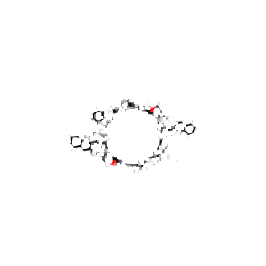 CC(C)[C@H]1C(=O)NC[C@@H](NC(=O)c2nc3ccccc3cc2O)C(=O)N2CCCC[C@H]2C(=O)NCC(=O)N(C)CC(=O)N(C)[C@@H](c2ccccc2)C(=O)NC[C@@H](NC(=O)c2nc3ccccc3cc2O)C(=O)N2CCCC[C@H]2C(=O)NCC(=O)N(C)CC(=O)N1C